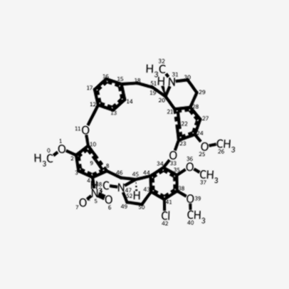 COc1cc([N+](=O)[O-])c2cc1Oc1ccc(cc1)CC[C@H]1c3cc(c(OC)cc3CCN1C)Oc1c(OC)c(OC)c(Cl)c3c1[C@H](C2)N(C)CC3